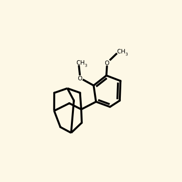 COc1cccc(C23CC4CC(CC(C4)C2)C3)c1OC